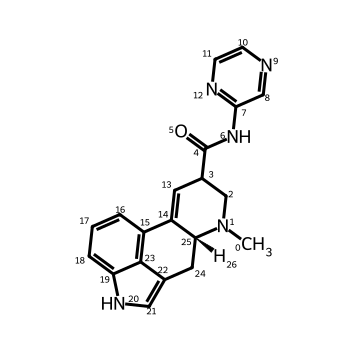 CN1CC(C(=O)Nc2cnccn2)C=C2c3cccc4[nH]cc(c34)C[C@H]21